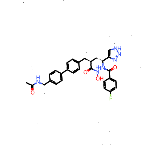 CC(=O)NCc1ccc(-c2ccc(C[C@@H](C[C@@H](NC(=O)c3ccc(F)cc3)c3c[nH]nn3)C(=O)NO)cc2)cc1